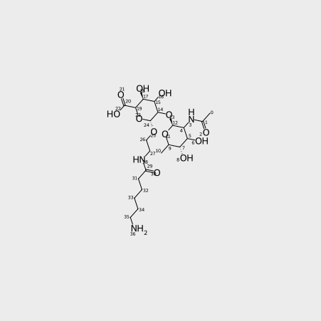 CC(=O)NC1C(O)[C@H](O)C(C)O[C@H]1OC1C(O)[C@H](O)C(C(=O)O)O[C@H]1OCCNC(=O)CCCCCN